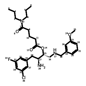 CCCN(CCC)C(=O)CCCC(=O)O[C@H](CNCc1cccc(OC)c1)[C@@H](N)Cc1cc(F)cc(Cl)c1